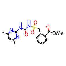 COC(=O)c1ccccc1CS(=O)(=O)NC(=O)Nc1nc(C)cc(C)n1